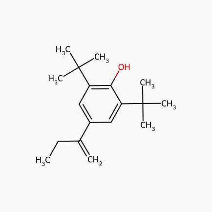 C=C(CC)c1cc(C(C)(C)C)c(O)c(C(C)(C)C)c1